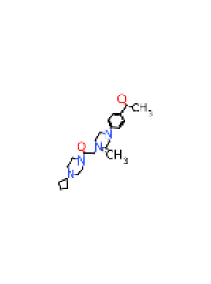 CC(=O)c1ccc(N2CCN(CC(=O)N3CCN(C4CCC4)CC3)[C@@H](C)C2)cc1